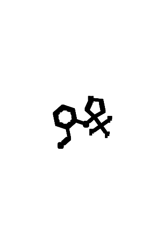 O=Cc1ccccc1OC1(C(F)(F)F)C=CN=C1